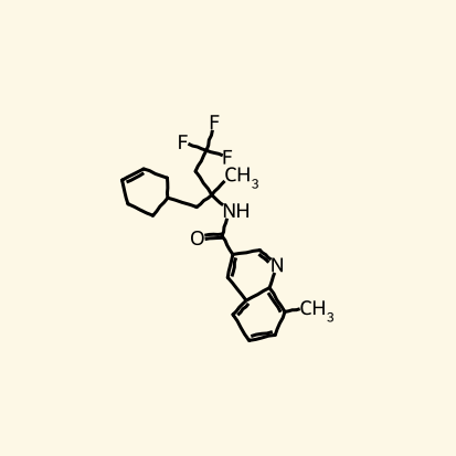 Cc1cccc2cc(C(=O)NC(C)(CC3CC=CCC3)CC(F)(F)F)cnc12